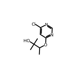 CC(Oc1cc(Cl)ncn1)C(C)(C)O